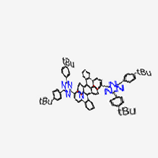 CC(C)(C)c1ccc(-c2nc(-c3ccc(-c4ccccc4-c4c5ccccc5c(-c5ccccc5-c5ccc(-c6nc(-c7ccc(C(C)(C)C)cc7)nc(-c7ccc(C(C)(C)C)cc7)n6)cn5)c5ccccc45)cc3)nc(-c3ccc(C(C)(C)C)cc3)n2)cc1